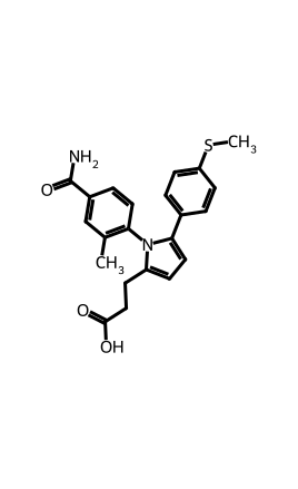 CSc1ccc(-c2ccc(CCC(=O)O)n2-c2ccc(C(N)=O)cc2C)cc1